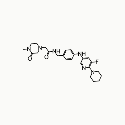 CN1CCN(CC(=O)NCc2ccc(Nc3cnc(N4CCCCC4)c(F)c3)cc2)CC1=O